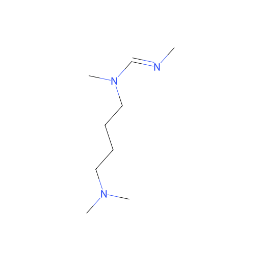 CN=CN(C)CCCCN(C)C